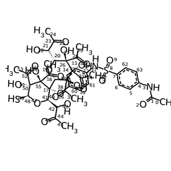 CC(=O)Nc1ccc(S(=O)(=O)Nc2ccc(O[C@]3([C@@H]4O[C@H](C(O)C(C)=O)[C@](O)(C(C)=O)[C@@](O)(C(C)=O)[C@]4(O)C(C)=O)[C@@H](C(O)C(C)=O)O[C@@H](S)[C@@](O)(C(C)=O)[C@]3(O)C(C)=O)cc2)cc1